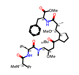 CC[C@H](C)[C@@H]([C@@H](CC(=O)C1CCC[C@H]1[C@H](OC)[C@@H](C)C(=O)N[C@@H](Cc1ccccc1)C(=O)OC)OC)N(C)C(=O)[C@@H](NC(=O)[C@@H](NC)C(C)C)C(C)C